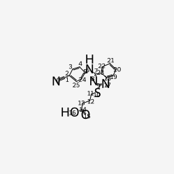 N#Cc1ccc(Nc2nc(SCCCC(=O)O)nc3ccccc23)cc1